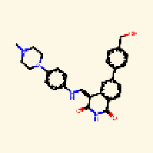 CN1CCN(c2ccc(N/C=C3\C(=O)NC(=O)c4ccc(-c5ccc(CO)cc5)cc43)cc2)CC1